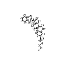 CCCCCOc1ccc2c(c1)CCC1C2CC[C@@]2(C)C1CC[C@@H]2N(C)Cc1ccccc1